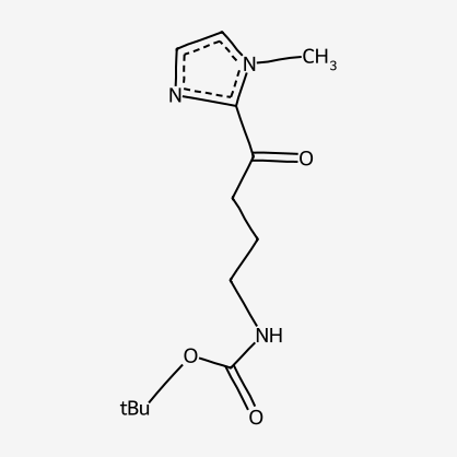 Cn1ccnc1C(=O)CCCNC(=O)OC(C)(C)C